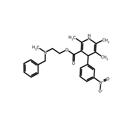 CC1=C(C)C(c2cccc([N+](=O)[O-])c2)C(C(=O)OCCN(C)Cc2ccccc2)=C(C)N1